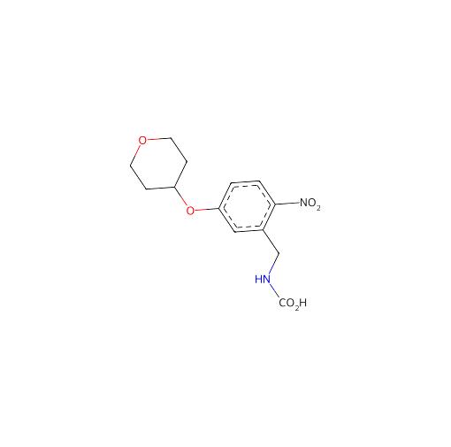 O=C(O)NCc1cc(OC2CCOCC2)ccc1[N+](=O)[O-]